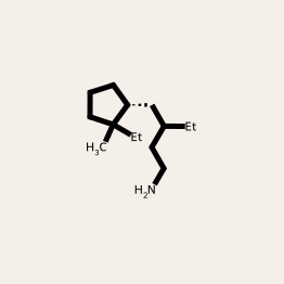 CCC(CCN)C[C@H]1CCCC1(C)CC